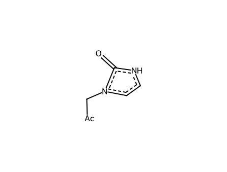 CC(=O)Cn1cc[nH]c1=O